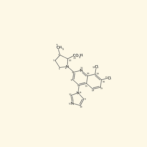 CC1CCN(c2cc(-n3ccnc3)c3ccc(Cl)c(Cl)c3n2)C1C(=O)O